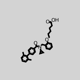 Cc1cccc(C)c1-c1ccc(C(=O)N(Cc2ccccc2OCCCCCC(=O)O)C2CC2)cc1